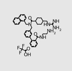 N=C(N)NCC1CCC(C(=O)N(Cc2cccc(-c3ccccc3C(=O)NCCN)c2)Cc2cccc3ccccc23)CC1.O=C(O)C(F)(F)F